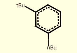 CCCCc1[c]c(C(C)(C)C)ccc1